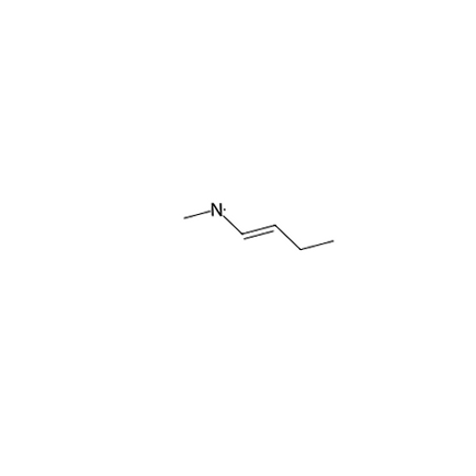 CCC=C[N]C